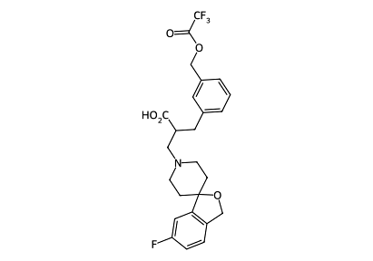 O=C(O)C(Cc1cccc(COC(=O)C(F)(F)F)c1)CN1CCC2(CC1)OCc1ccc(F)cc12